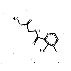 COC(=O)CNC(=O)c1nccc(I)c1O